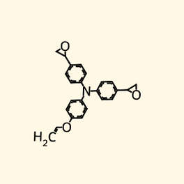 C=COc1ccc(N(c2ccc(C3CO3)cc2)c2ccc(C3CO3)cc2)cc1